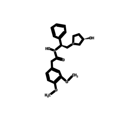 COc1ccc(CC(=O)N(O)[C@H](CN2CC[C@H](O)C2)c2ccccc2)cc1OC